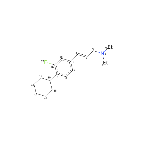 CCN(CC)CC=Cc1ccc(C2CCCCC2)c(F)c1